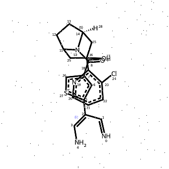 N=C/C(=C\N)c1cc(C(=O)N2C3CC[C@H]2CC(O)(c2ncccc2Cl)C3)cs1